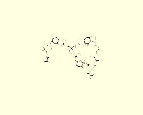 C=C(C)C(=O)OCC(C)OC(=O)Nc1cc(NC(=O)OCC(CC)(COC(=O)Nc2ccc(C)c(NC(=O)OC(C)COC(=O)C(=C)C)c2)COC(=O)Nc2ccc(C)c(NC(=O)OC(C)COC(=O)C(=C)C)c2)ccc1C